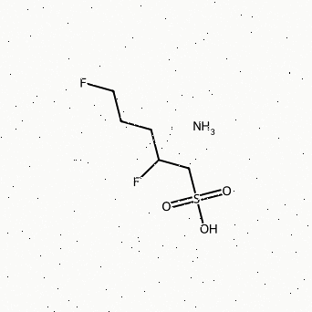 N.O=S(=O)(O)CC(F)CCCF